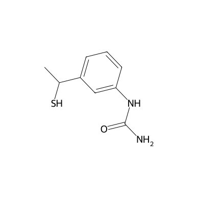 CC(S)c1cccc(NC(N)=O)c1